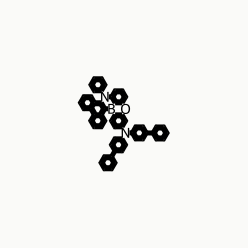 c1ccc(-c2ccc(N(c3ccc(-c4ccccc4)cc3)c3ccc4c(c3)Oc3cccc5c3B4c3c(c4ccccc4c4ccccc34)N5c3ccccc3)cc2)cc1